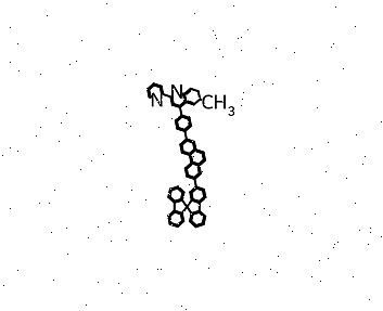 CC1C=c2c(-c3ccc(-c4ccc5c(ccc6cc(-c7ccc8c(c7)C7(c9ccccc9-c9ccccc97)c7ccccc7-8)ccc65)c4)cc3)cc(-c3ccccn3)nc2=CC1